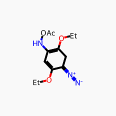 CCOC1=CC(NOC(C)=O)=C(OCC)CC1=[N+]=[N-]